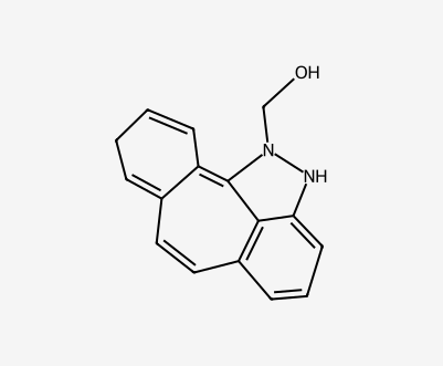 OCn1[nH]c2cccc3ccc4c(c1-c32)C=CCC=4